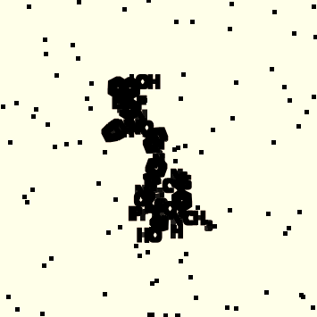 CCc1cccc2cc(O)cc(-c3ncc4c(N5CC6CCC(C5)N6)nc(OC[C@@]56CCCN5[C@H](CN5CCC7(CC5)CN(c5cc([C@@H](C(=O)N8C[C@H](O)C[C@H]8C(=O)N[C@@H](C)c8ccc(-c9scnc9C)cc8)C(C)C)on5)C7)CC6)nc4c3F)c12